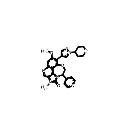 COc1cc2ncc3c4c2c(c1-c1cnn(C2CCOCC2)c1)OCC(c1ccncc1)n4c(=O)n3C